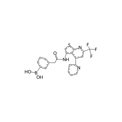 O=C(Cc1cccc(B(O)O)c1)Nc1csc2nc(C(F)(F)F)cc(-c3ccccn3)c12